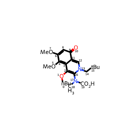 CCCCOc1c2c(OC)c(OC)cc(=O)c-2cn(CC(C)(C)C)c1N(C)C(=O)O